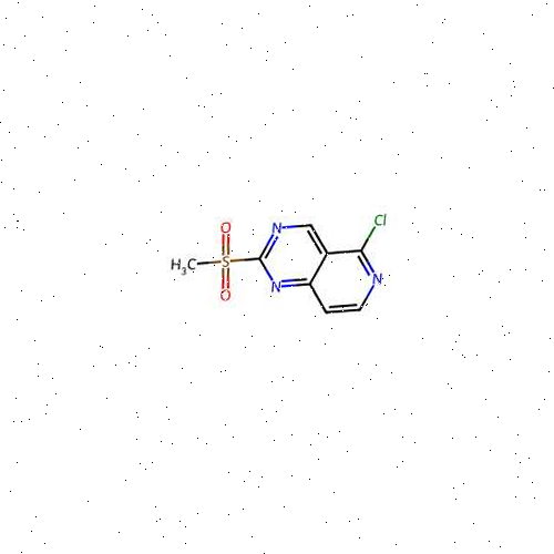 CS(=O)(=O)c1ncc2c(Cl)nccc2n1